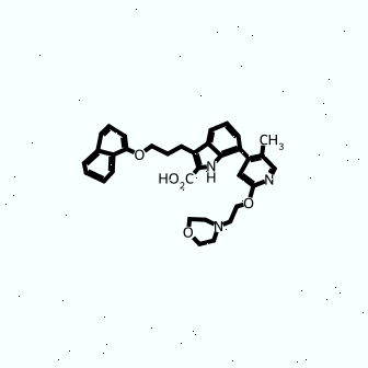 Cc1cnc(OCCN2CCOCC2)cc1-c1cccc2c(CCCOc3cccc4ccccc34)c(C(=O)O)[nH]c12